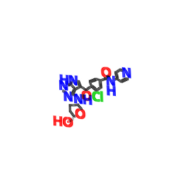 O=C(Nc1ccncc1)c1ccc(C(=O)c2c[nH]c3ncnc(N[C@H]4CC[C@@H](CO)OC4)c23)c(Cl)c1